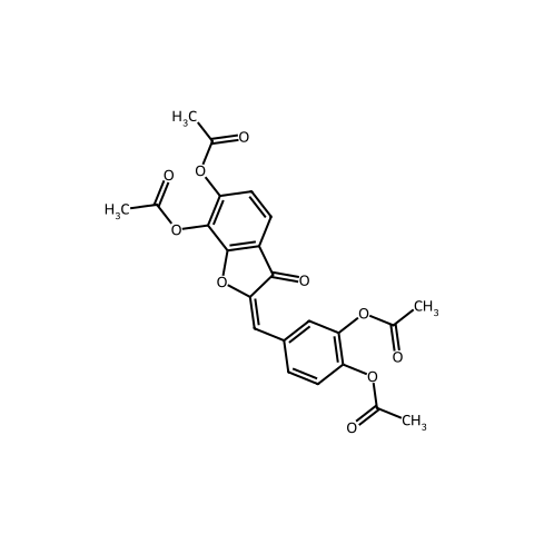 CC(=O)Oc1ccc(/C=C2/Oc3c(ccc(OC(C)=O)c3OC(C)=O)C2=O)cc1OC(C)=O